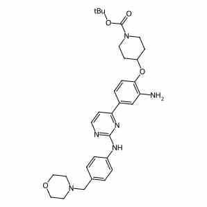 CC(C)(C)OC(=O)N1CCC(Oc2ccc(-c3ccnc(Nc4ccc(CN5CCOCC5)cc4)n3)cc2N)CC1